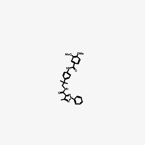 COc1ccc(C(=O)Nc2ccc(C(C)(C)CNC(=O)c3nn(-c4ccccc4)nc3C)cc2)cc1OC